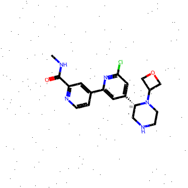 CNC(=O)c1cc(-c2cc([C@H]3CNCCN3C3COC3)cc(Cl)n2)ccn1